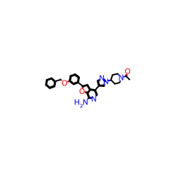 CC(=O)N1CCC(n2cc(-c3cnc(N)c4oc(-c5cccc(OCc6ccccc6)c5)cc34)cn2)CC1